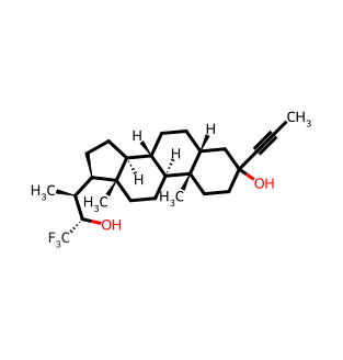 CC#CC1(O)CC[C@@]2(C)[C@H](CC[C@@H]3[C@@H]2CC[C@]2(C)[C@@H]([C@H](C)[C@H](O)C(F)(F)F)CC[C@@H]32)C1